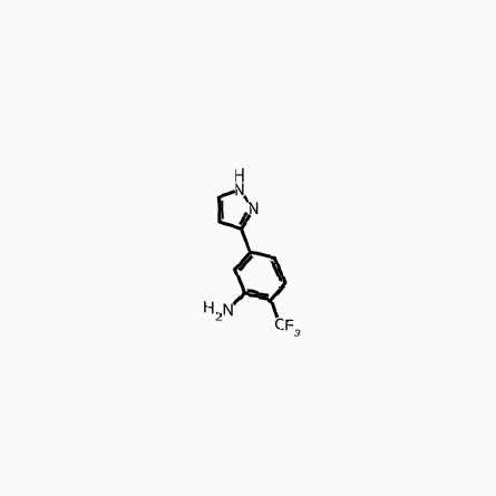 Nc1cc(-c2cc[nH]n2)ccc1C(F)(F)F